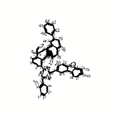 CC1(C)c2cccc(-c3nc(-c4ccccc4)nc(-c4ccc5oc6ccccc6c5c4)n3)c2-c2ccc3ccc(-c4ccccc4)cc3c21